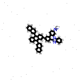 [C-]#[N+]c1ccc2c3cc(-c4ccc5c(-c6ccc7ccccc7c6)c6ccccc6c(-c6ccc7ccccc7c6)c5c4)ccc3c3nc4ccccc4n3c2c1